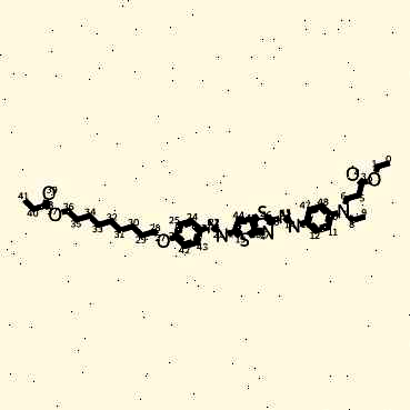 CCOC(=O)CCN(CC)c1ccc(N=Nc2nc3sc(N=Nc4ccc(OCCCCCCCCCOC(=O)CC)cc4)cc3s2)cc1